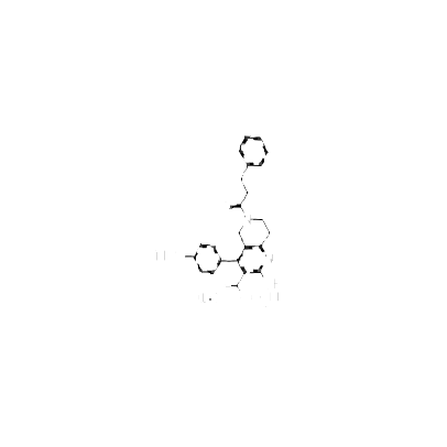 Cc1ccc(-c2c3c(nc(C)c2C(OC(C)(C)C)C(=O)O)CCN(C(=O)CCc2ccccc2)C3)cc1